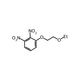 CCOCCOc1cccc([N+](=O)[O-])c1[N+](=O)[O-]